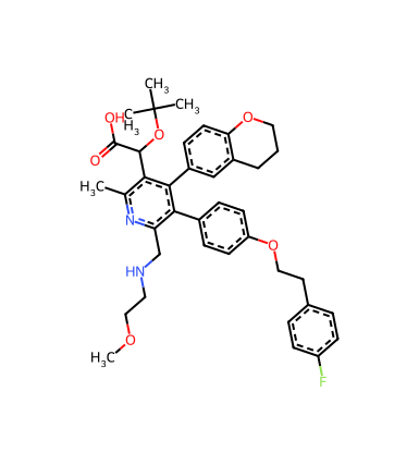 COCCNCc1nc(C)c(C(OC(C)(C)C)C(=O)O)c(-c2ccc3c(c2)CCCO3)c1-c1ccc(OCCc2ccc(F)cc2)cc1